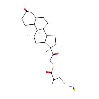 CC(CNC=S)C(=O)OCC(=O)[C@@]1(O)[C@@H](C)CC2C3CCC4CC(=O)CC[C@]4(C)[C@@]3(F)[C@@H](O)C[C@@]21C